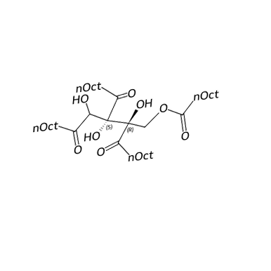 CCCCCCCCC(=O)OC[C@](O)(C(=O)CCCCCCCC)[C@](O)(C(=O)CCCCCCCC)C(O)C(=O)CCCCCCCC